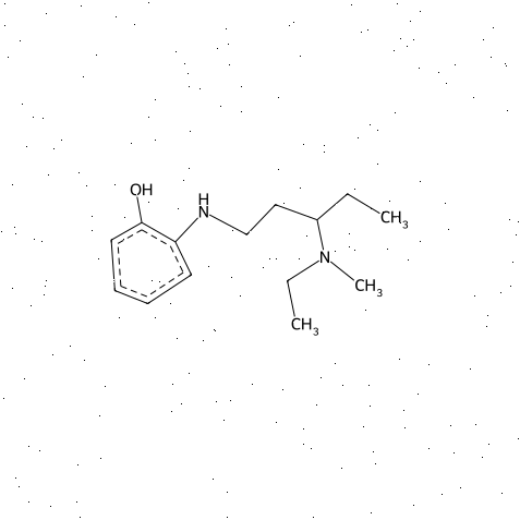 CCC(CCNc1ccccc1O)N(C)CC